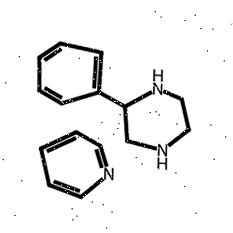 c1ccc(C2CNCCN2)cc1.c1ccncc1